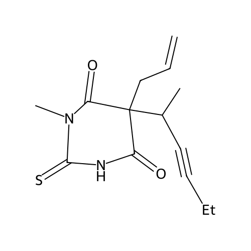 C=CCC1(C(C)C#CCC)C(=O)NC(=S)N(C)C1=O